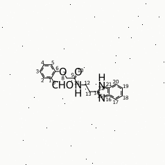 O=Cc1ccccc1OCC(=O)NCCc1nc2ccccc2[nH]1